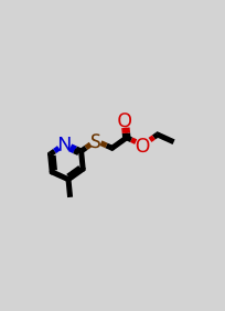 CCOC(=O)CSc1cc(C)ccn1